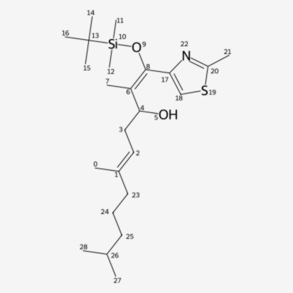 C/C(=C\CC(O)/C(C)=C(/O[Si](C)(C)C(C)(C)C)c1csc(C)n1)CCCC(C)C